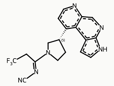 N#CN=C(CC(F)(F)F)N1CC[C@@H](c2ccnc3cnc4[nH]ccc4c23)C1